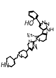 CC[C@H]1c2c([nH]c3nnc(-c4ccccc4O)cc23)CCN1c1ncc(C2CCN(C3CCNCC3)CC2)cn1